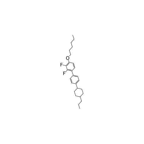 CCCCCCOc1ccc(-c2ccc(C3CCC(CCC)CC3)cc2)c(F)c1F